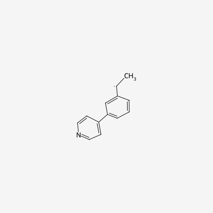 C[CH]c1cccc(-c2ccncc2)c1